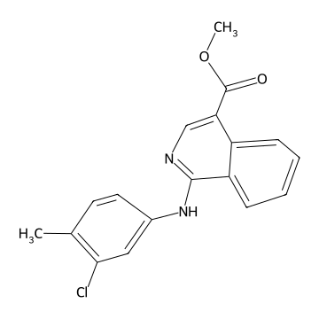 COC(=O)c1cnc(Nc2ccc(C)c(Cl)c2)c2ccccc12